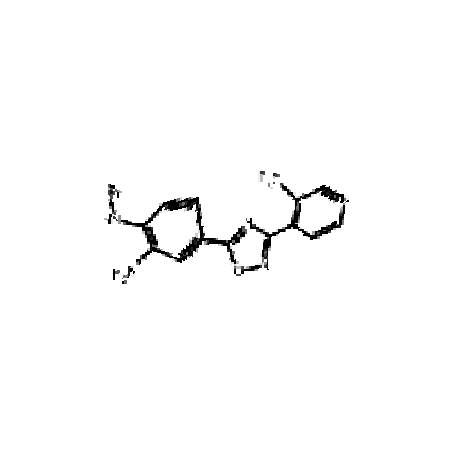 CC(C)Nc1ccc(-c2nc(-c3ccncc3C(F)(F)F)no2)cc1N